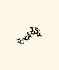 Cn1cnnc1-c1cc(F)ccc1-c1cc(C2CC2)nc(-n2cc3ccc(CN[C@@H]4CCC[C@@H]4O)cn3c2=O)c1